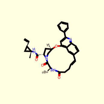 C=C[C@@H]1C[C@@]1(C)NC(=O)[C@@H]1C[C@@H]2CN1C(=O)[C@H](CCCC)NC(=O)CC/C=C/c1ccc3nc(-c4ccccc4)cc(c3c1)O2